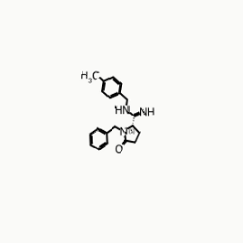 Cc1ccc(CNC(=N)[C@@H]2CCC(=O)N2Cc2ccccc2)cc1